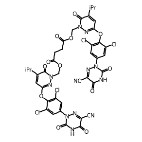 CC(C)c1cc(Oc2c(Cl)cc(-n3nc(C#N)c(=O)[nH]c3=O)cc2Cl)nn(COC(=O)CCC(=O)OCn2nc(Oc3c(Cl)cc(-n4nc(C#N)c(=O)[nH]c4=O)cc3Cl)cc(C(C)C)c2=O)c1=O